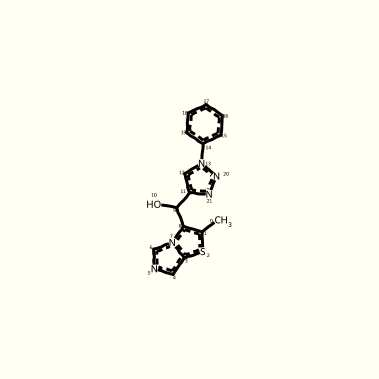 Cc1sc2cncn2c1C(O)c1cn(-c2ccccc2)nn1